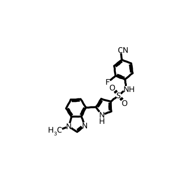 Cn1cnc2c(-c3cc(S(=O)(=O)Nc4ccc(C#N)cc4F)c[nH]3)cccc21